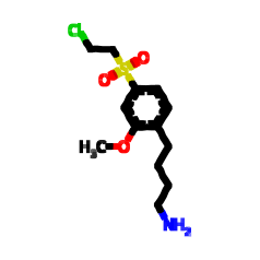 COc1cc(S(=O)(=O)CCCl)ccc1CCCCN